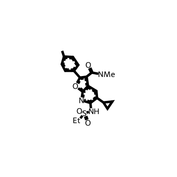 CCS(=O)(=O)Nc1nc2oc(-c3ccc(C)cc3)c(C(=O)NC)c2cc1C1CC1